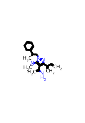 C=CC(=C)c1nn(CC(C)C2=CC=CCC2)c(N=C)c1C(=C)N